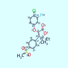 CC[C@@]1(C)OC(=O)C(Oc2ccc(Cl)c(F)c2)=C1c1ccc(S(C)(=O)=O)cc1